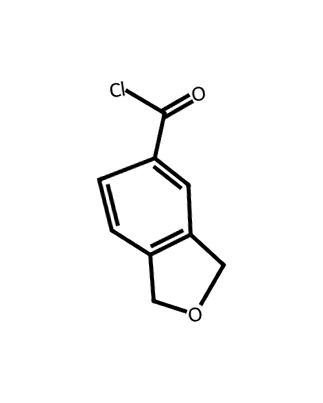 O=C(Cl)c1ccc2c(c1)COC2